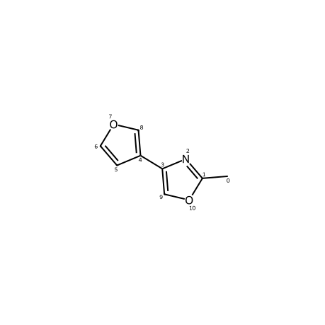 Cc1nc(-c2ccoc2)co1